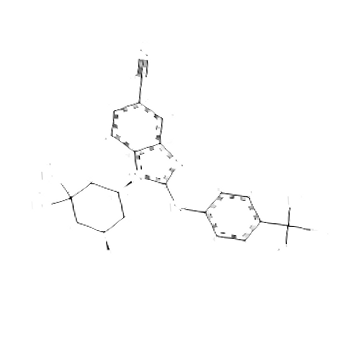 C[C@@H]1C[C@H](n2c(Nc3ccc(C(F)(F)F)cc3)nc3cc(C#N)ccc32)CC(C)(C)C1